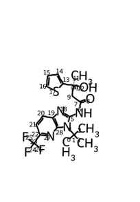 CC(C)(C)n1c(NC(=O)C[C@](C)(O)c2cccs2)nc2ccc(C(F)(F)F)nc21